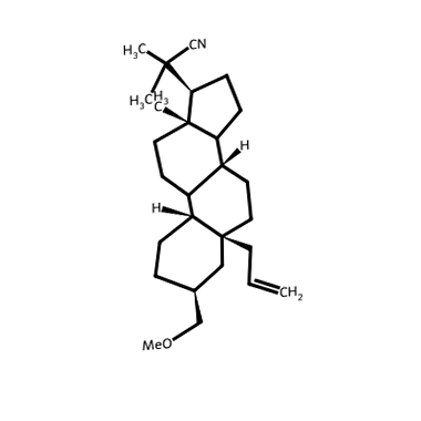 C=CC[C@]12CC[C@@H]3C(CC[C@@]4(C)C3CC[C@@H]4C(C)(C)C#N)[C@H]1CC[C@H](COC)C2